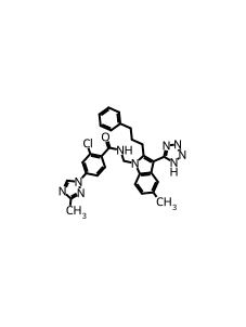 Cc1ccc2c(c1)c(-c1nnn[nH]1)c(CCCc1ccccc1)n2CNC(=O)c1ccc(-n2cnc(C)n2)cc1Cl